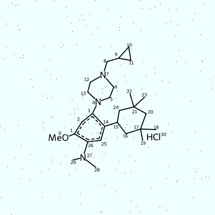 COc1cc(N2CCN(CC3CC3)CC2)c(C2CC(C)(C)CC(C)(C)C2)cc1N(C)C.Cl